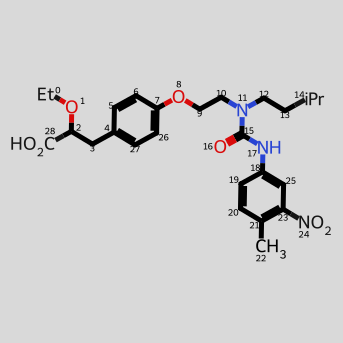 CCOC(Cc1ccc(OCCN(CCC(C)C)C(=O)Nc2ccc(C)c([N+](=O)[O-])c2)cc1)C(=O)O